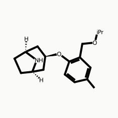 Cc1ccc(O[C@H]2C[C@H]3CC[C@@H](C2)N3)c(COC(C)C)c1